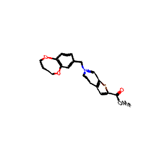 COC(=O)c1cc2cc[n+](Cc3ccc4c(c3)OCCCO4)cc2s1